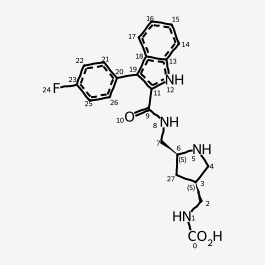 O=C(O)NC[C@@H]1CN[C@H](CNC(=O)c2[nH]c3ccccc3c2-c2ccc(F)cc2)C1